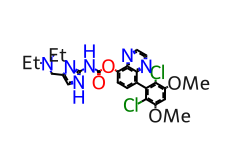 CCN(CC)Cc1c[nH]c(NC(=O)Oc2ccc(-c3c(Cl)c(OC)cc(OC)c3Cl)c3nccnc23)n1